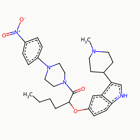 CCCCC(Oc1ccc2[nH]cc(C3CCN(C)CC3)c2c1)C(=O)N1CCN(c2ccc([N+](=O)[O-])cc2)CC1